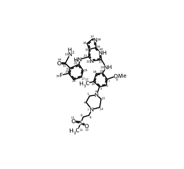 COc1cc(N2CCN(CCS(C)(=O)=O)CC2)c(C)cc1Nc1nc(Nc2cccc(F)c2C(N)=O)c2ccnc-2[nH]1